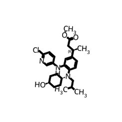 COC(=O)C[C@@H](C)c1ccc(N(CC(C)C)[C@H]2CC[C@H](O)CC2)c(Nc2ccc(Cl)nc2)c1